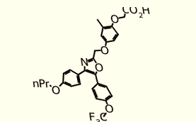 CCCOc1ccc(-c2nc(COc3ccc(OCC(=O)O)c(C)c3)oc2-c2ccc(OC(F)(F)F)cc2)cc1